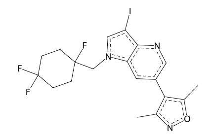 Cc1noc(C)c1-c1cnc2c(I)cn(CC3(F)CCC(F)(F)CC3)c2c1